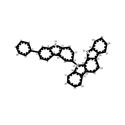 c1ccc(-c2ccc3c(c2)sc2ccc(-n4c5ccccc5c5ccc6c7ccccc7sc6c54)cc23)cc1